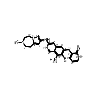 CC(C)N1CCc2cc(Nc3cc4cc(Cc5ccc[nH]c5=O)c(F)c(N)c4cn3)nn2CC1